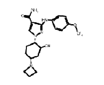 N#C[C@H]1C[C@@H](N2CCC2)CC[C@@H]1n1cc(C(N)=O)c(Nc2ccc(OC(F)(F)F)cc2)n1